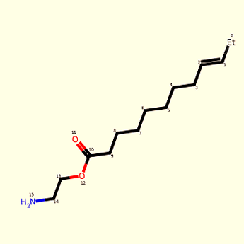 CC/C=C/CCCCCCCC(=O)OCCN